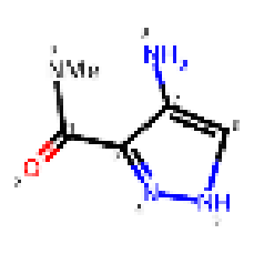 CNC(=O)c1n[nH]cc1N